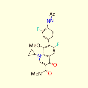 CNC(=O)c1cn(C2CC2)c2c(OC)c(-c3ccc(/N=N/C(C)=O)c(F)c3)c(F)cc2c1=O